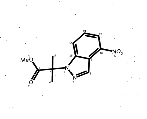 COC(=O)C(C)(C)n1ncc2c([N+](=O)[O-])cccc21